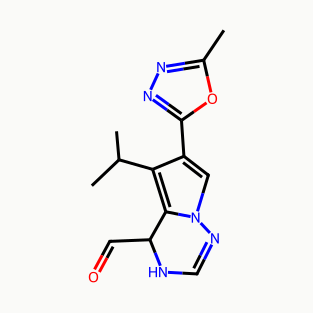 Cc1nnc(-c2cn3c(c2C(C)C)C(C=O)NC=N3)o1